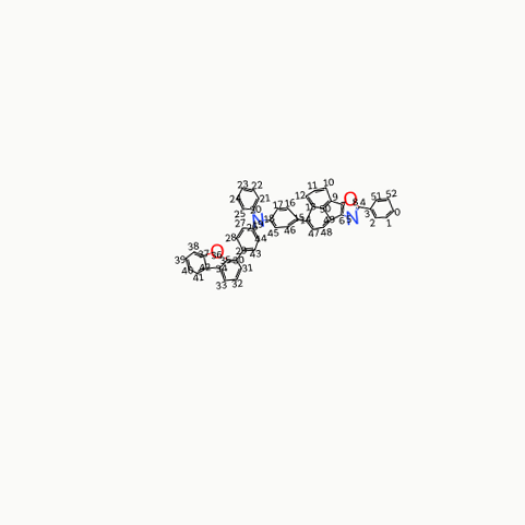 c1ccc(-c2nc3c(o2)-c2cccc4c(-c5ccc(N(c6ccccc6)c6ccc(-c7cccc8c7oc7ccccc78)cc6)cc5)ccc-3c24)cc1